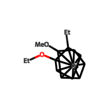 CCO[C]12[CH]3[CH]4[CH]5[C]1(CC)[Ru]45321678[CH]2[CH]1[CH]6[C]7(OC)[CH]28